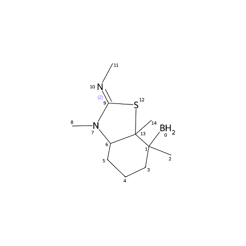 BC1(C)CCCC2N(C)/C(=N/C)SC21C